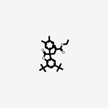 C=C(CC1(c2ccc(C)c(C)c2)C(=O)Oc2c(C(C)(C)C)cc(C(C)(C)C)cc21)C(=O)OCC